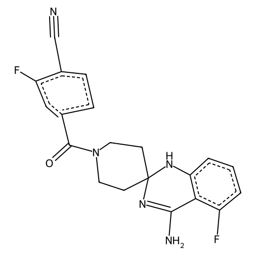 N#Cc1ccc(C(=O)N2CCC3(CC2)N=C(N)c2c(F)cccc2N3)cc1F